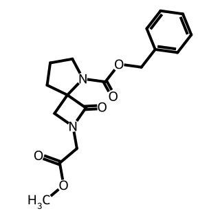 COC(=O)CN1CC2(CCCN2C(=O)OCc2ccccc2)C1=O